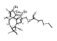 CCCCCC(=O)OCC1=CC2C(=O)[C@]3(C=C(C)C(O)[C@@]3(O)C1O)[C@H](C)CC1[C@H]2C1(C)C